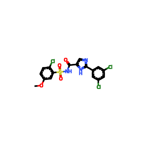 COc1ccc(Cl)c(S(=O)(=O)NC(=O)c2cnc(-c3cc(Cl)cc(Cl)c3)[nH]2)c1